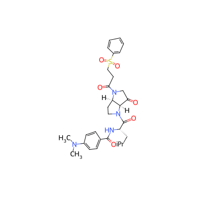 CC(C)C[C@H](NC(=O)c1ccc(N(C)C)cc1)C(=O)N1CC[C@@H]2[C@H]1C(=O)CN2C(=O)CCS(=O)(=O)c1ccccc1